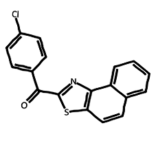 O=C(c1ccc(Cl)cc1)c1nc2c(ccc3ccccc32)s1